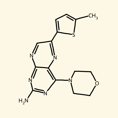 Cc1ccc(-c2cnc3nc(N)nc(N4CCOCC4)c3n2)s1